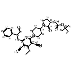 CCc1c(C#N)c(SC(C=O)c2ccccc2)nc(N2CCC(N3CCC(NC(=O)OC(C)(C)C)C3=O)CC2)c1C#N